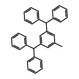 Cc1cc(C(c2ccccc2)c2ccccc2)cc(C(c2ccccc2)c2ccccc2)c1